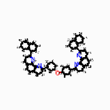 c1cc(Oc2ccc(-c3ccc4ccc5ccc(-c6cccc7ccccc67)nc5c4n3)cc2)cc(-c2ccc3ccc4ccc(-c5cccc6ccccc56)nc4c3n2)c1